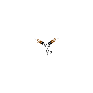 [Mo].[S]=[Mo]=[S]